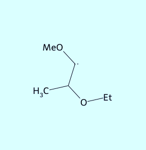 CCOC(C)[CH]OC